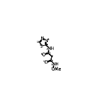 CONC(=O)CC(=O)Nc1nn[c]s1